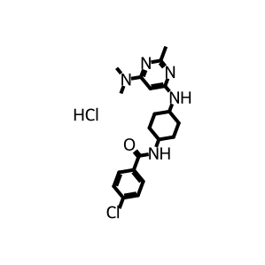 Cc1nc(NC2CCC(NC(=O)c3ccc(Cl)cc3)CC2)cc(N(C)C)n1.Cl